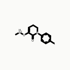 C[SiH2]OC1=CCCN(c2ccc(I)cc2)C1=O